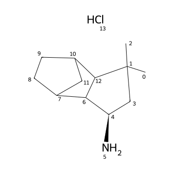 CC1(C)C[C@@H](N)C2C3CCC(C3)C21.Cl